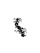 CCn1c(CN(C=O)c2nc3cc[nH]c3nc2N)[n+](CC)c2ccc(C(=O)N3CCC(NC(=O)OC(C)(C)C)CC3)cc21